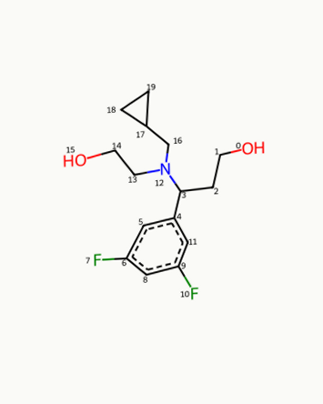 OCCC(c1cc(F)cc(F)c1)N(CCO)CC1CC1